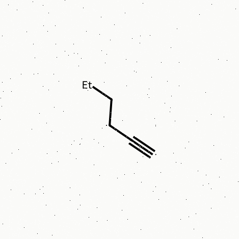 [C]#C[CH]CCC